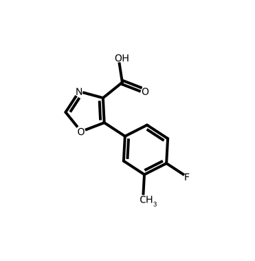 Cc1cc(-c2ocnc2C(=O)O)ccc1F